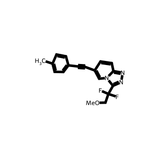 COCC(F)(F)c1nnc2ccc(C#Cc3ccc(C)cc3)cn12